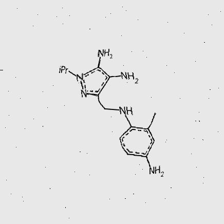 Cc1cc(N)ccc1NCc1nn(C(C)C)c(N)c1N